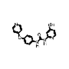 CC(C)(C)c1ccnc(NC(=O)Nc2ccc(Oc3ccncc3)cc2)c1